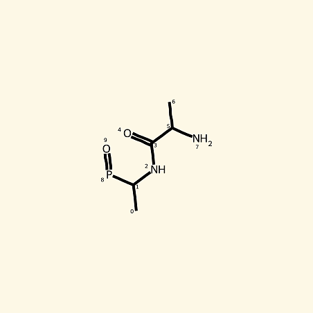 CC(NC(=O)C(C)N)P=O